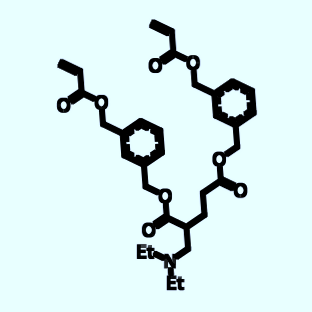 C=CC(=O)OCc1cccc(COC(=O)CCC(CN(CC)CC)C(=O)OCc2cccc(COC(=O)C=C)c2)c1